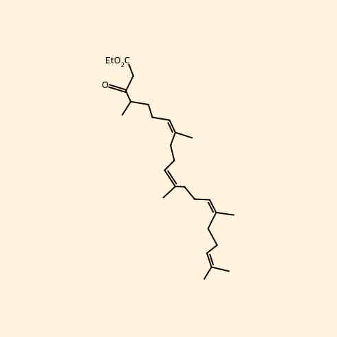 CCOC(=O)CC(=O)C(C)CCC=C(C)CCC=C(C)CCC=C(C)CCC=C(C)C